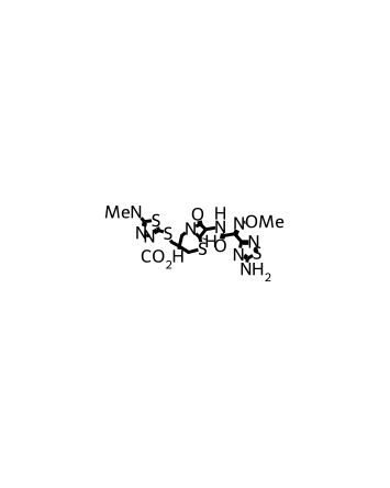 CNc1nnc(SCC2(C(=O)O)CS[C@@H]3C(NC(=O)C(=NOC)c4nsc(N)n4)C(=O)N3C2)s1